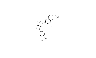 COc1cc(-c2cnc3[nH]cc(-c4ccc(C(=O)N(C)C)cc4)c3n2)cc2c1CN(CC(C)(C)O)CC2